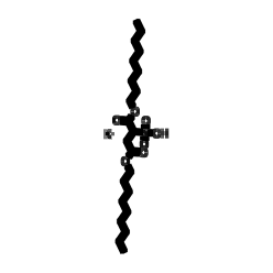 CCCCCCCCCOC(=O)CC(C(=O)OCCCCCCCCC)S(=O)(=O)O.[K]